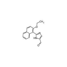 CCOc1ccc2ccccc2c1-c1ncc(C=O)[nH]1